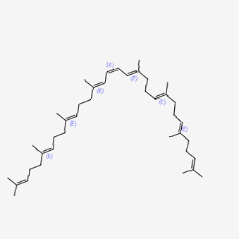 CC(C)=CCC/C(C)=C/CC/C(C)=C/CC/C(C)=C/C=C\C=C(/C)CC/C=C(\C)CC/C=C(\C)CCC=C(C)C